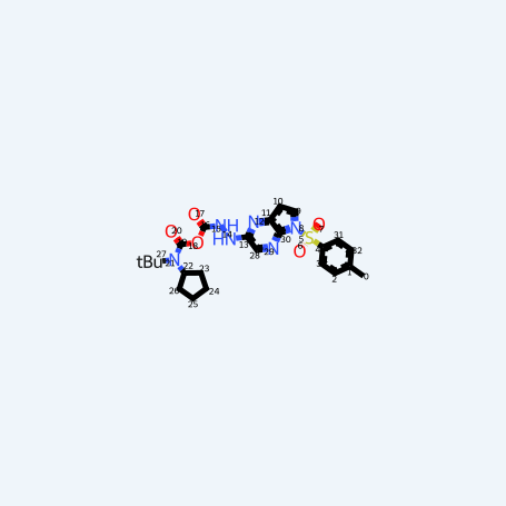 Cc1ccc(S(=O)(=O)n2ccc3nc(NNC(=O)OC(=O)N(C4CCCC4)C(C)(C)C)cnc32)cc1